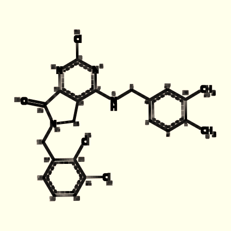 Cc1ccc(CNc2nc(Cl)nc3c2CN(Cc2cccc(Cl)c2Cl)C3=O)cc1C